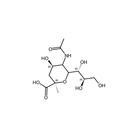 CC(=O)NC1C([C@H](O)[C@H](O)CO)O[C@@](C)(C(=O)O)C[C@H]1O